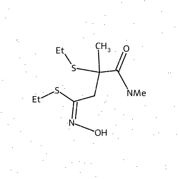 CCSC(CC(C)(SCC)C(=O)NC)=NO